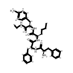 CCCC[C@@H](NC(=O)[C@@H](Cc1ccccc1)NC(=O)[C@H](N)Cc1ccccc1)C(=O)N[C@H](Cc1cnc(N)nc1)C(=O)NCC